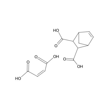 O=C(O)/C=C\C(=O)O.O=C(O)C1C2C=CC(C2)C1C(=O)O